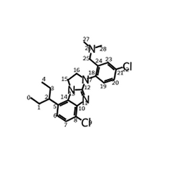 CCC(CC)c1ccc(Cl)c2nc3n(c12)CCN3c1ccc(Cl)cc1CN(C)C